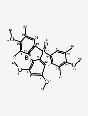 COc1cc(OC)c(Br)c(P(=O)(c2cc(C)c(OC)c(C)c2)c2cc(C)c(OC)c(C)c2)c1